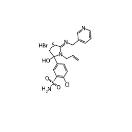 Br.C=CCN1C(=NCc2cccnc2)SCC1(O)c1ccc(Cl)c(S(N)(=O)=O)c1